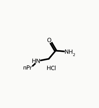 CCCNCC(N)=O.Cl